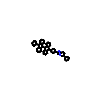 c1ccc(-c2ccc3nc(-c4ccc(-c5c6ccccc6c(-c6c7ccccc7c(-c7ccccc7)c7ccccc67)c6ccccc56)cc4)cn3c2)cc1